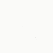 O=C(O)c1cn(C2CC2)c2ccccc12